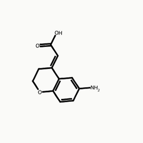 Nc1ccc2c(c1)C(=CC(=O)O)CCO2